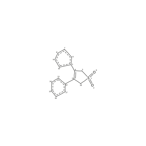 O=S1(=O)CC(c2ccccc2)=C(c2ccccc2)C1